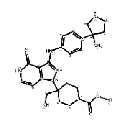 CC(C)(C)OC(=O)N1CCC(CC#N)(n2nc(Nc3ccc(C4(C)CCNC4)cc3)c3c(=O)[nH]ccc32)CC1